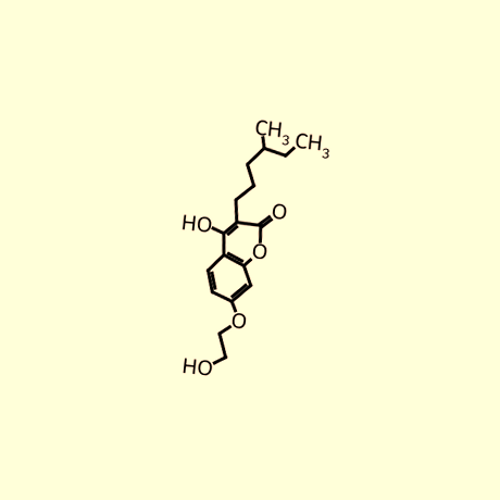 CCC(C)CCCc1c(O)c2ccc(OCCO)cc2oc1=O